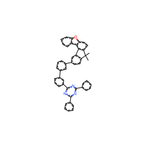 CC1(C)c2ccc(-c3cccc(-c4cccc(-c5nc(-c6ccccc6)nc(-c6ccccc6)n5)c4)c3)cc2-c2c1ccc1oc3ccccc3c21